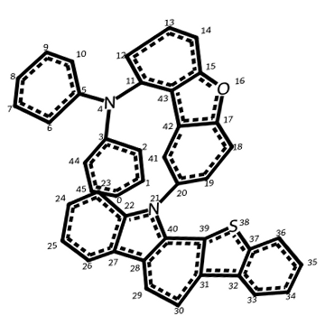 c1ccc(N(c2ccccc2)c2cccc3oc4ccc(-n5c6ccccc6c6ccc7c8ccccc8sc7c65)cc4c23)cc1